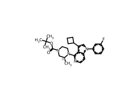 C[C@H]1CN(C(=O)OC(C)(C)C)CCN1c1nccc2c1c(C1CCC1)cn2-c1cccc(F)c1